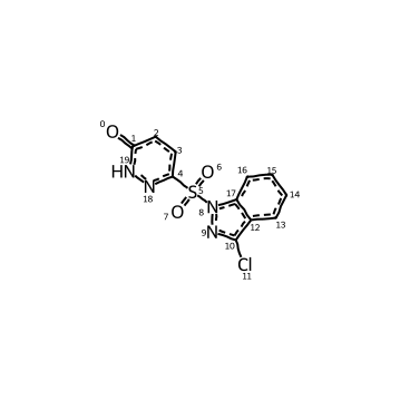 O=c1ccc(S(=O)(=O)n2nc(Cl)c3ccccc32)n[nH]1